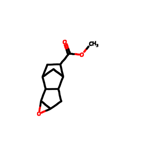 COC(=O)C1CC2CC1C1CC3OC3C21